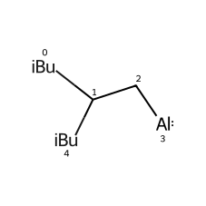 CCC(C)C([CH2][Al])C(C)CC